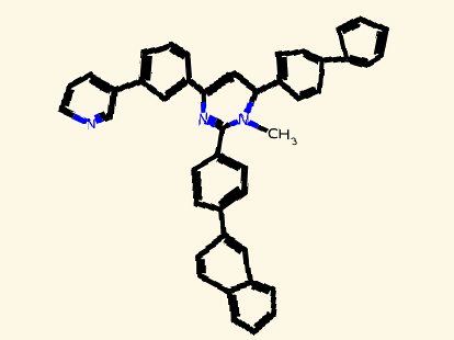 CN1C(c2ccc(-c3ccc4ccccc4c3)cc2)=NC(c2cccc(-c3cccnc3)c2)=CC1c1ccc(-c2ccccc2)cc1